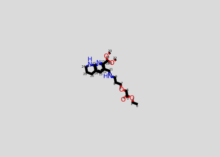 CCOC(=O)COCCCNCc1cc2c(nc1C(OC)OC)NCCC2